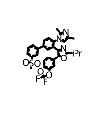 Cc1cn(-c2ccc(-c3cccc(S(C)(=O)=O)c3)cc2-c2nc(C(C)C)oc2-c2ccc3c(c2)OC(F)(F)O3)c(C)n1